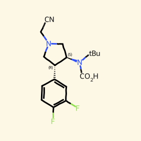 CC(C)(C)N(C(=O)O)[C@@H]1CN(CC#N)C[C@H]1c1ccc(F)c(F)c1